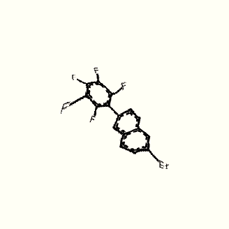 CCc1ccc2cc(-c3c(F)c(F)c(F)c(F)c3F)ccc2c1